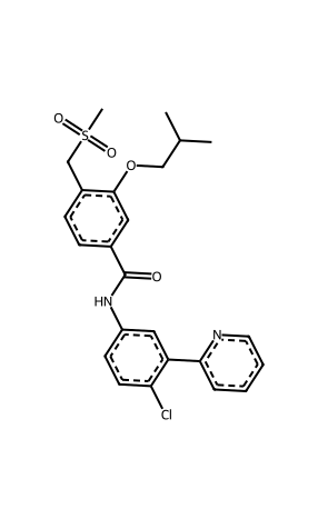 CC(C)COc1cc(C(=O)Nc2ccc(Cl)c(-c3ccccn3)c2)ccc1CS(C)(=O)=O